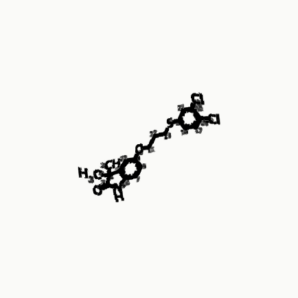 CC1(C)C(=O)Nc2ccc(OCCCSc3ccc(Cl)c(Cl)c3)cc21